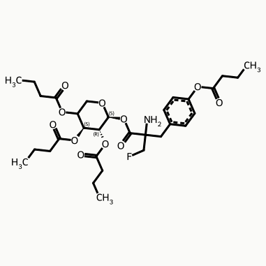 CCCC(=O)Oc1ccc(CC(N)(CF)C(=O)O[C@@H]2OCC(OC(=O)CCC)[C@H](OC(=O)CCC)[C@H]2OC(=O)CCC)cc1